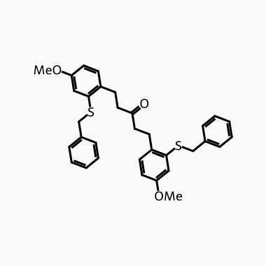 COc1ccc(CCC(=O)CCc2ccc(OC)cc2SCc2ccccc2)c(SCc2ccccc2)c1